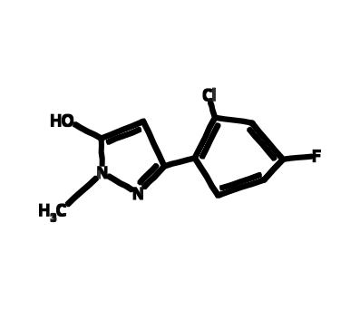 Cn1nc(-c2ccc(F)cc2Cl)cc1O